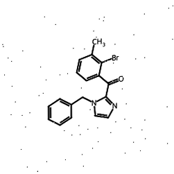 Cc1cccc(C(=O)c2nccn2Cc2ccccc2)c1Br